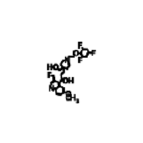 COc1ccc2ncc(CF)c([C@H](O)CCC3(CO)CCN(CCOc4c(F)cc(F)cc4F)CC3)c2c1